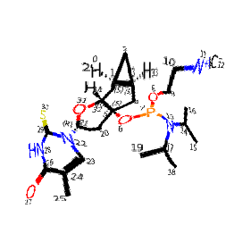 [2H][C@]12C[C@H]1C[C@]1(OP(OCC[N+]#[C-])N(C(C)C)C(C)C)C[C@H](n3cc(C)c(=O)[nH]c3=S)O[C@@H]12